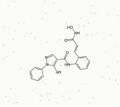 CCCc1c(C(=O)Nc2ccccc2C=CC(=O)NO)cnn1-c1ccccc1